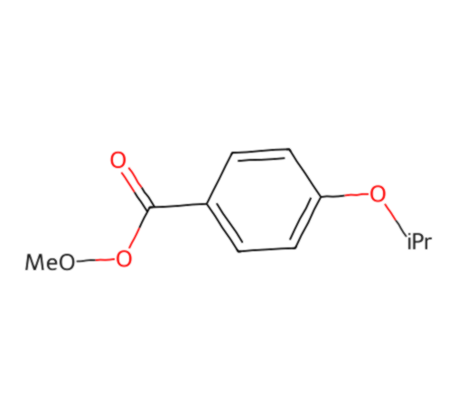 [CH2]OOC(=O)c1ccc(OC(C)C)cc1